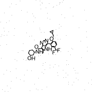 Cc1[nH]c2c(-c3cc(C(F)F)ccc3OCC3CC3)ncnc2c1C(=O)N[C@@H]1CCC[C@@H](O)C1